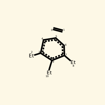 C=C.CCc1cccc(CC)c1CC